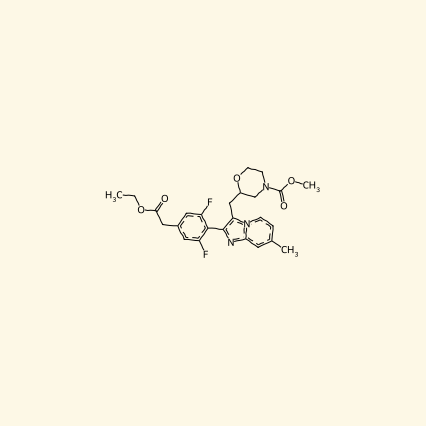 CCOC(=O)Cc1cc(F)c(-c2nc3cc(C)ccn3c2CC2CN(C(=O)OC)CCO2)c(F)c1